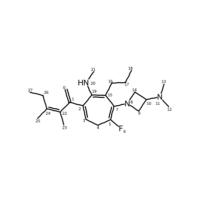 C=C(C1=CCC(F)=C(N2CC(N(C)C)C2)C(CCC)=C1NC)/C(C)=C(/C)CC